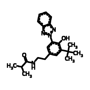 CC(C)C(=O)NCCc1cc(-n2nc3ccccc3n2)c(O)c(C(C)(C)C)c1